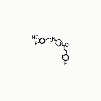 N#Cc1cc(CON=C2CCN(C(=O)C=Cc3ccc(F)cc3)CC2)ccc1F